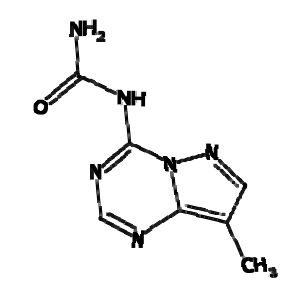 Cc1cnn2c(NC(N)=O)ncnc12